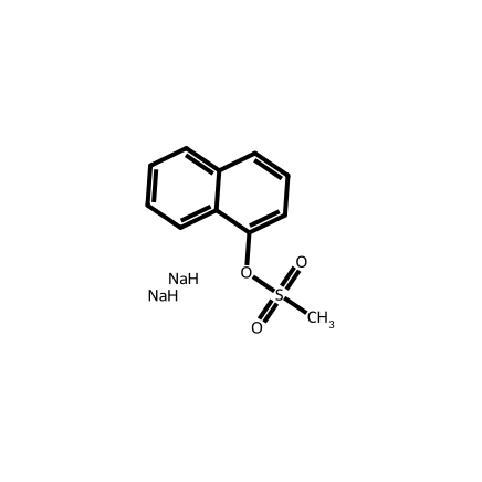 CS(=O)(=O)Oc1cccc2ccccc12.[NaH].[NaH]